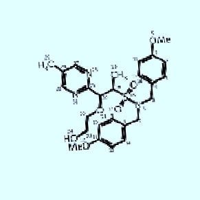 COc1ccc(CN(Cc2ccc(OC)cc2)S(=O)(=O)C(C)C(OCCO)c2ncc(C)cn2)cc1